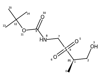 C[C@H](CO)S(=O)(=O)CNC(=O)OC(C)(C)C